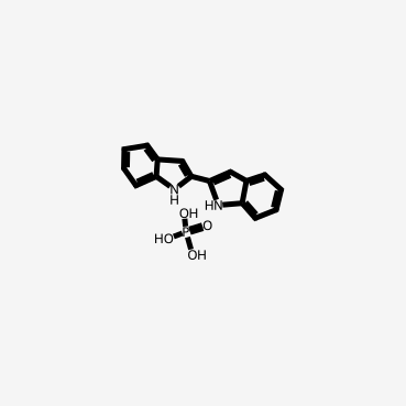 O=P(O)(O)O.c1ccc2[nH]c(-c3cc4ccccc4[nH]3)cc2c1